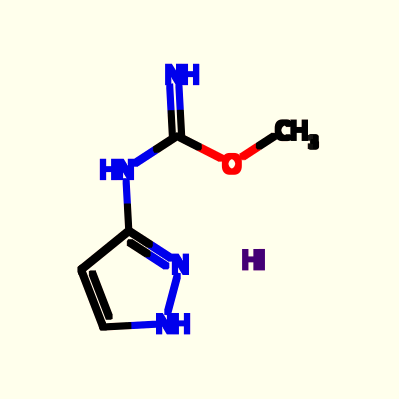 COC(=N)Nc1cc[nH]n1.I